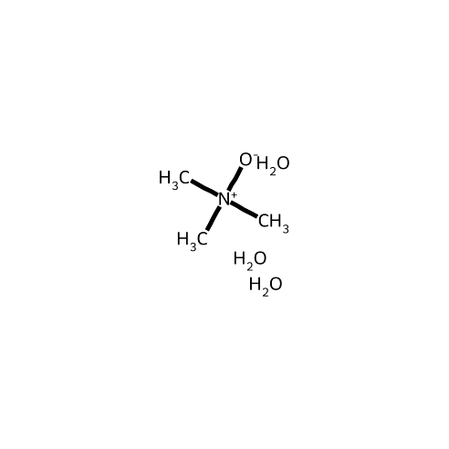 C[N+](C)(C)[O-].O.O.O